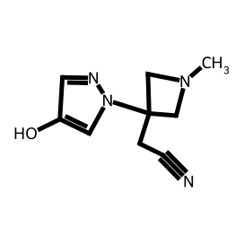 CN1CC(CC#N)(n2cc(O)cn2)C1